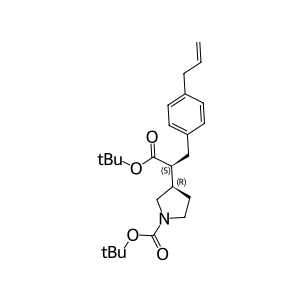 C=CCc1ccc(C[C@H](C(=O)OC(C)(C)C)[C@H]2CCN(C(=O)OC(C)(C)C)C2)cc1